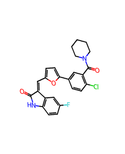 O=C1Nc2ccc(F)cc2/C1=C\c1ccc(-c2ccc(Cl)c(C(=O)N3CCCCC3)c2)o1